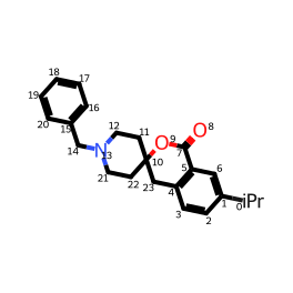 CC(C)c1ccc2c(c1)C(=O)OC1(CCN(Cc3ccccc3)CC1)C2